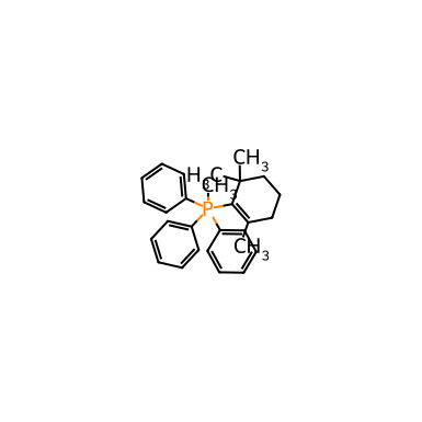 CC1=C(P(C)(c2ccccc2)(c2ccccc2)c2ccccc2)C(C)(C)CCC1